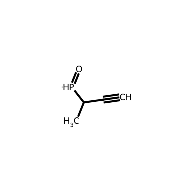 C#CC(C)[PH]=O